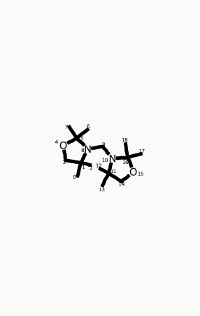 CC1(C)COC(C)(C)N1CN1C(C)(C)COC1(C)C